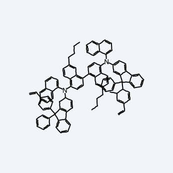 C=CC1=CC(C)C(C2(c3ccccc3)c3ccccc3-c3ccc(N(c4cccc5ccccc45)c4ccc(-c5ccc(N(c6cccc7ccccc67)C6C=CC7=C(C6)C(c6ccccc6)(c6ccc(C=C)cc6)c6ccccc67)c6ccc(CCCC)cc56)c5cc(CCCC)ccc45)cc32)C=C1